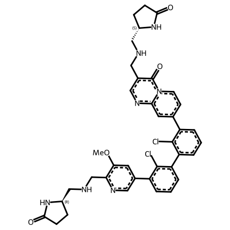 COc1cc(-c2cccc(-c3cccc(-c4ccn5c(=O)c(CNC[C@@H]6CCC(=O)N6)cnc5c4)c3Cl)c2Cl)cnc1CNC[C@H]1CCC(=O)N1